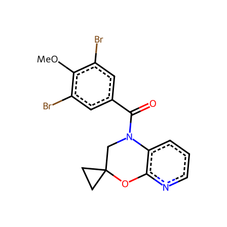 COc1c(Br)cc(C(=O)N2CC3(CC3)Oc3ncccc32)cc1Br